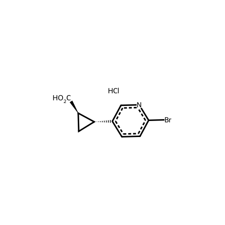 Cl.O=C(O)[C@@H]1C[C@H]1c1ccc(Br)nc1